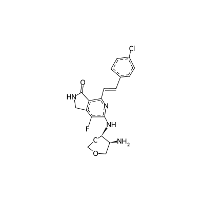 N[C@H]1COCC[C@H]1Nc1nc(/C=C/c2ccc(Cl)cc2)c2c(c1F)CNC2=O